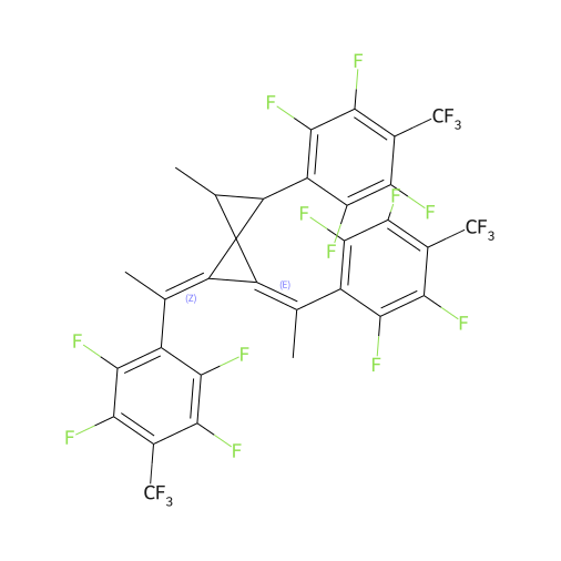 C/C(=C1/C(=C(\C)c2c(F)c(F)c(C(F)(F)F)c(F)c2F)C12C(C)C2c1c(F)c(F)c(C(F)(F)F)c(F)c1F)c1c(F)c(F)c(C(F)(F)F)c(F)c1F